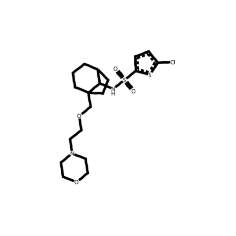 O=S(=O)(NC1C2CCCC1(COCCN1CCOCC1)CC2)c1ccc(Cl)s1